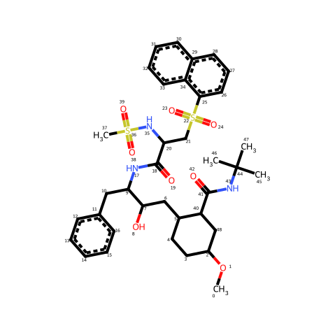 COC1CCC(CC(O)C(Cc2ccccc2)NC(=O)C(CS(=O)(=O)c2cccc3ccccc23)NS(C)(=O)=O)C(C(=O)NC(C)(C)C)C1